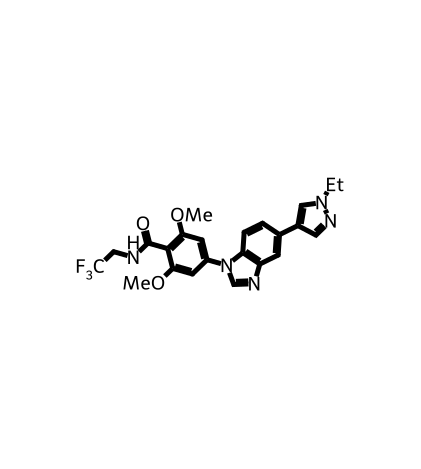 CCn1cc(-c2ccc3c(c2)ncn3-c2cc(OC)c(C(=O)NCC(F)(F)F)c(OC)c2)cn1